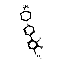 Cc1ccc(C2=CCC([C@H]3CC[C@H](C)CC3)C=C2)c(F)c1F